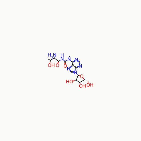 CC(O)C(N)C(=O)NC(=O)N(C)c1ncnc2c1ncn2[C@@H]1O[C@H](CO)[C@@H](O)[C@H]1O